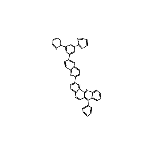 c1ccc(-c2c3ccccc3nc3c2ccc2ccc(-c4ccc5cc(-c6cc(-c7ccccn7)cc(-c7ccccn7)c6)ccc5n4)nc23)cc1